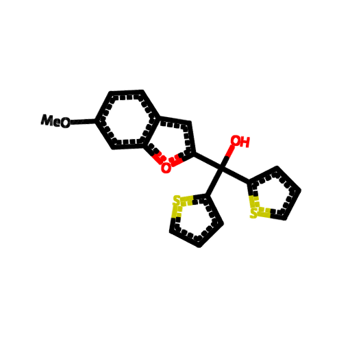 COc1ccc2cc(C(O)(c3cccs3)c3cccs3)oc2c1